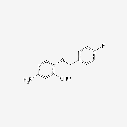 Bc1ccc(OCc2ccc(F)cc2)c(C=O)c1